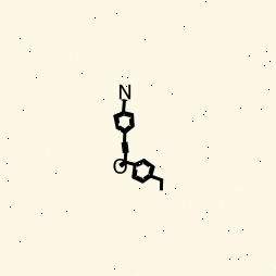 CCc1ccc(C(=O)C#Cc2ccc(C#N)cc2)cc1